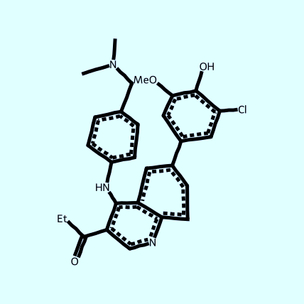 CCC(=O)c1cnc2ccc(-c3cc(Cl)c(O)c(OC)c3)cc2c1Nc1ccc(CN(C)C)cc1